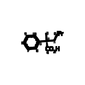 CC(C)C[C@@](C)(C(=O)O)c1ccccc1